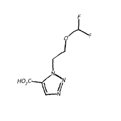 O=C(O)c1cnnn1CCOC(F)F